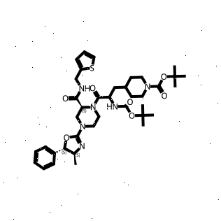 C[C@@H]1N=C(N2CCN(C(=O)C(CC3CCN(C(=O)OC(C)(C)C)CC3)NC(=O)OC(C)(C)C)[C@H](C(=O)NCc3cccs3)C2)O[C@H]1c1ccccc1